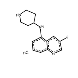 Cl.Fc1cnc2cccc(NC3CCNCC3)c2c1